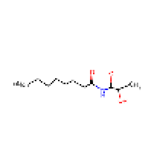 CCCCCCCCCCCCCCCC(=O)NC(O)C(C)O